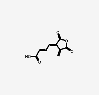 C=C1C(=O)OC(=O)/C1=C/C=C/C(=O)O